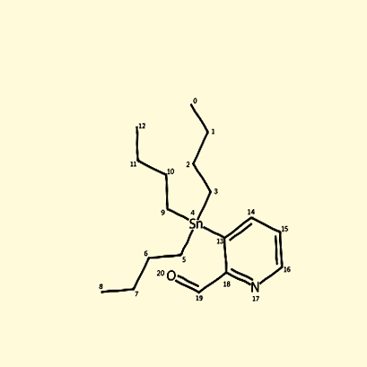 CCC[CH2][Sn]([CH2]CCC)([CH2]CCC)[c]1cccnc1C=O